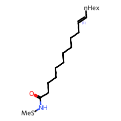 CCCCCC/C=C/CCCCCCCCCC(=O)NSC